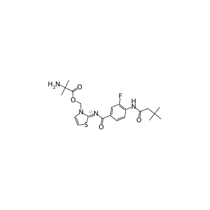 CC(C)(C)CC(=O)Nc1ccc(C(=O)/N=c2\sccn2COC(=O)C(C)(C)N)cc1F